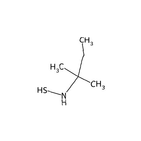 CCC(C)(C)NS